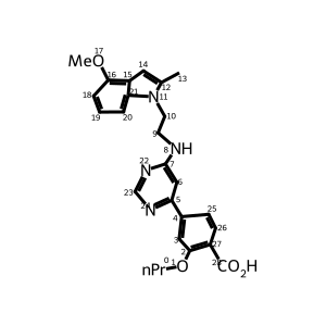 CCCOc1cc(-c2cc(NCCn3c(C)cc4c(OC)cccc43)ncn2)ccc1C(=O)O